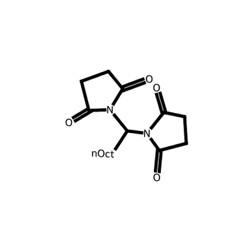 CCCCCCCCC(N1C(=O)CCC1=O)N1C(=O)CCC1=O